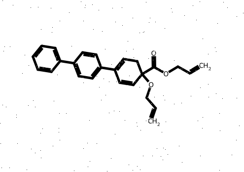 C=CCOC(=O)C1(OCC=C)C=CC(c2ccc(-c3ccccc3)cc2)=CC1